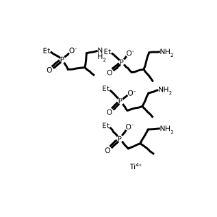 CCP(=O)([O-])CC(C)CN.CCP(=O)([O-])CC(C)CN.CCP(=O)([O-])CC(C)CN.CCP(=O)([O-])CC(C)CN.[Ti+4]